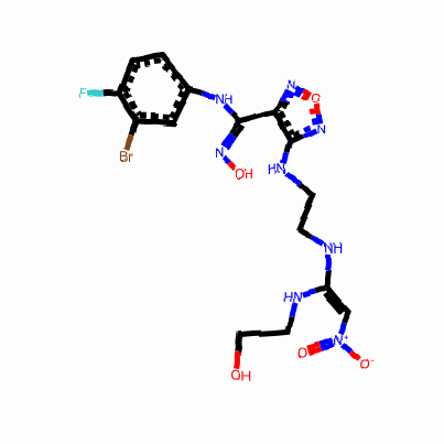 O=[N+]([O-])C=C(NCCO)NCCNc1nonc1C(=NO)Nc1ccc(F)c(Br)c1